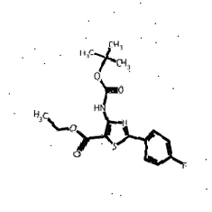 CCOC(=O)c1sc(-c2ccc(F)cc2)nc1NC(=O)OC(C)(C)C